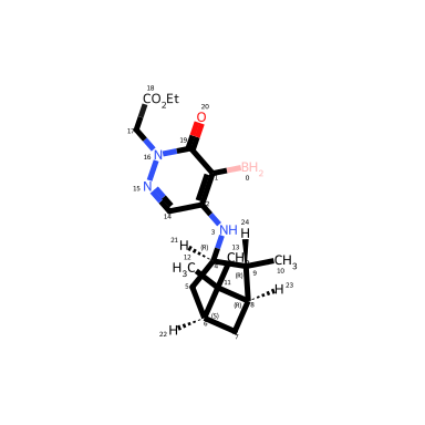 Bc1c(N[C@@H]2C[C@@H]3C[C@H]([C@H]2C)C3(C)C)cnn(CC(=O)OCC)c1=O